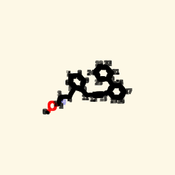 CO/C=C/Cc1ccccc1CC#Cc1ccccc1-c1ccccc1